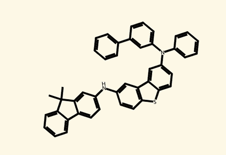 CC1(C)c2ccccc2-c2ccc(Nc3ccc4sc5ccc(N(c6ccccc6)c6cccc(-c7ccccc7)c6)cc5c4c3)cc21